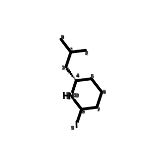 CC(C)C[C@@H]1CCCC(I)N1